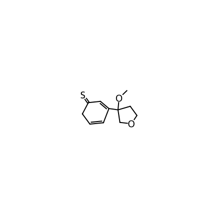 COC1(C2=CC(=S)CC=C2)CCOC1